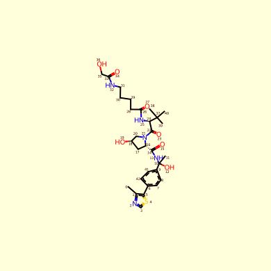 Cc1ncsc1-c1ccc(C(C)(O)NC(=O)[C@@H]2C[C@@H](O)CN2C(=O)[C@@H](NC(=O)CCCCNC(=O)CO)C(C)(C)C)cc1